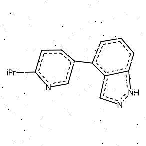 CC(C)c1ccc(-c2cccc3[nH]ncc23)cn1